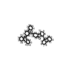 c1cc(-n2c3ccccc3c3ccccc32)c2sc3ccc(-n4c5ccccc5c5ccc(-n6c7ccccc7c7ccccc76)cc54)cc3c2c1